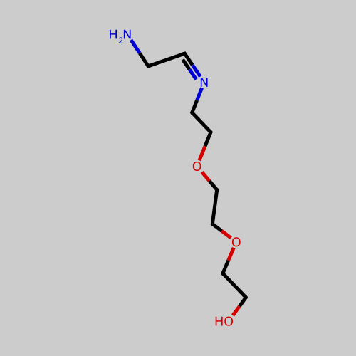 NC/C=N\CCOCCOCCO